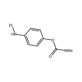 CCNc1ccc(OC(=O)NC)cc1